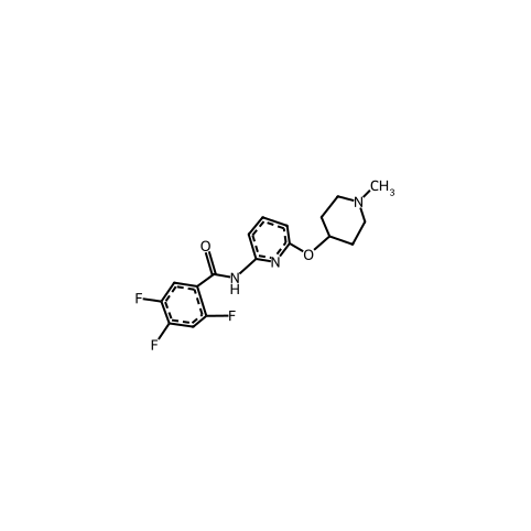 CN1CCC(Oc2cccc(NC(=O)c3cc(F)c(F)cc3F)n2)CC1